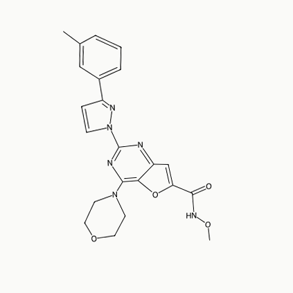 CONC(=O)c1cc2nc(-n3ccc(-c4cccc(C)c4)n3)nc(N3CCOCC3)c2o1